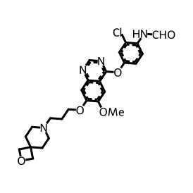 COc1cc2c(Oc3ccc(NC=O)c(Cl)c3)ncnc2cc1OCCCN1CCC2(CC1)COC2